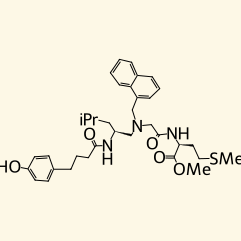 COC(=O)[C@H](CCSC)NC(=O)CN(Cc1cccc2ccccc12)C[C@H](CC(C)C)NC(=O)CCCc1ccc(O)cc1